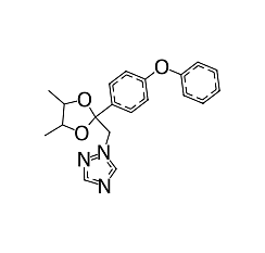 CC1OC(Cn2cncn2)(c2ccc(Oc3ccccc3)cc2)OC1C